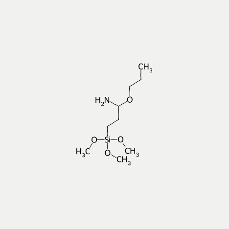 CCCOC(N)CC[Si](OC)(OC)OC